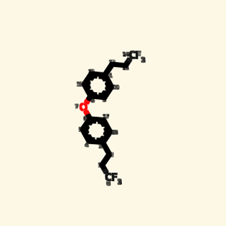 FC(F)(F)CCc1ccc(Oc2ccc(CCC(F)(F)F)cc2)cc1